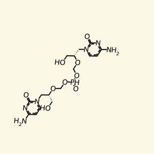 Nc1ccn(C[C@@H](CO)OCO[PH](=O)OCO[C@H](CO)Cn2ccc(N)nc2=O)c(=O)n1